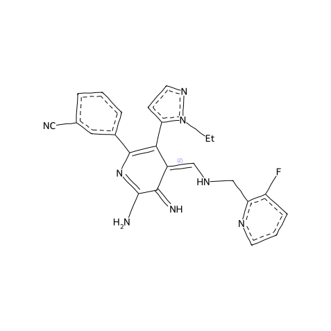 CCn1nccc1C1=C(c2cccc(C#N)c2)N=C(N)C(=N)/C1=C\NCc1ncccc1F